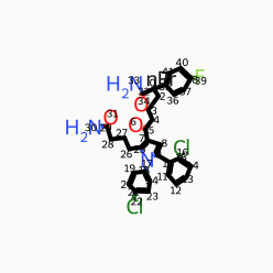 CCCC(CCCC(=O)c1cc(-c2ccccc2Cl)n(-c2ccc(Cl)cc2)c1CCCC(N)=O)(C(N)=O)c1ccc(F)cc1